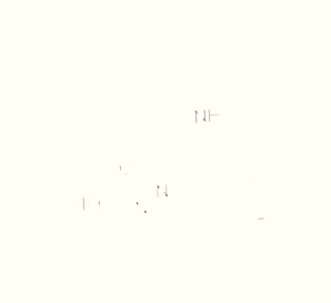 Oc1nnc(-c2c(-c3ccc(F)cc3)[nH]c3ccccc23)o1